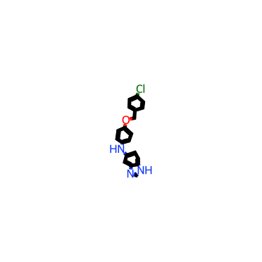 Clc1ccc(COc2ccc(Nc3ccc4[nH]cnc4c3)cc2)cc1